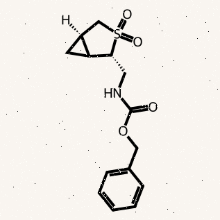 O=C(NC[C@@H]1C2C[C@H]2CS1(=O)=O)OCc1ccccc1